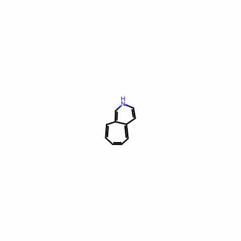 C1=CC=C2C=CNC=C2C=C1